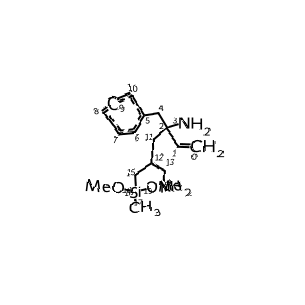 C=CC(N)(Cc1ccccc1)CC(CN)C[Si](C)(OC)OC